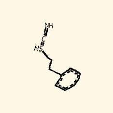 N=C=[SH]CCc1ccccc1